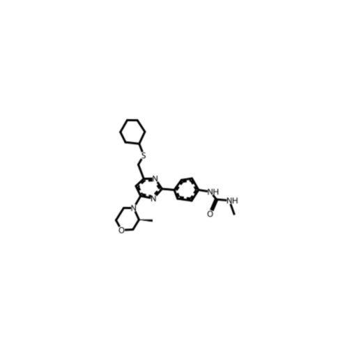 CNC(=O)Nc1ccc(-c2nc(CSC3CCCCC3)cc(N3CCOC[C@@H]3C)n2)cc1